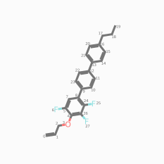 C=CCOc1c(F)cc(-c2ccc(-c3ccc(CCC)cc3)cc2)c(F)c1F